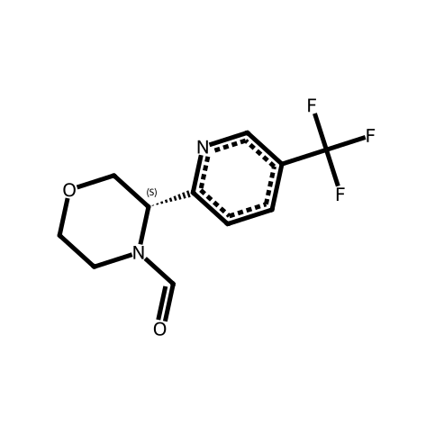 O=CN1CCOC[C@@H]1c1ccc(C(F)(F)F)cn1